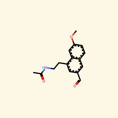 COc1ccc2cc(C=O)cc(CCNC(C)=O)c2c1